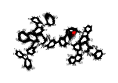 c1ccc(-n2c3ccccc3c3cc(-c4nc5ccccc5nc4-n4c5ccc(-n6c7ccccc7c7cc(-c8ccc9nc(-n%10c%11ccc(-n%12c%13ccccc%13c%13ccccc%13%12)cc%11c%11c%12ccccc%12ccc%11%10)c(-c%10ccc%11c%12ccccc%12n(-c%12ccccc%12)c%11c%10)nc9c8)ccc76)cc5c5c6ccccc6ccc54)ccc32)cc1